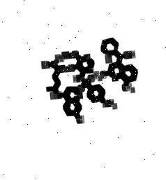 CCN(CC)CCCC(C)Nc1ccnc2cc(Cl)ccc12.COc1ncnc(NS(=O)(=O)c2ccc(N)cc2)c1OC.O[C@@H](c1cc(C(F)(F)F)nc2c(C(F)(F)F)cccc12)[C@H]1CCCCN1